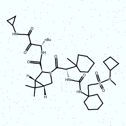 CCCC[C@H](NC(=O)[C@@H]1[C@@H]2[C@H](CN1C(=O)[C@@H](NC(=O)NC1(CS(=O)(=O)N(C)C3CCC3)CCCCC1)C1(C)CCCCC1)C2(C)C)C(=O)C(=O)NC1CC1